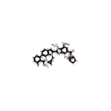 COc1cc(C(=O)N2CC3CCC2[C@@H]3N)cc2nc(-c3cc4ccc(-c5cccc(F)c5C(N)=O)cc4n3CC3CC3)n(C)c12